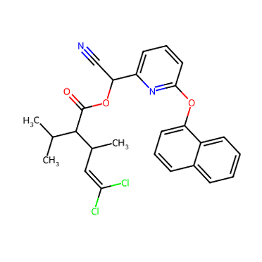 CC(C)C(C(=O)OC(C#N)c1cccc(Oc2cccc3ccccc23)n1)C(C)C=C(Cl)Cl